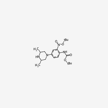 CC1CN(c2ccc(NC(=O)OC(C)(C)C)c([N+](=O)OC(C)(C)C)c2)CC(C)N1